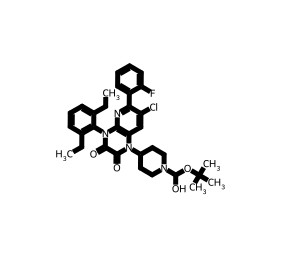 CCc1cccc(CC)c1-n1c(=O)c(=O)n(C2CCN(C(O)OC(C)(C)C)CC2)c2cc(Cl)c(-c3ccccc3F)nc21